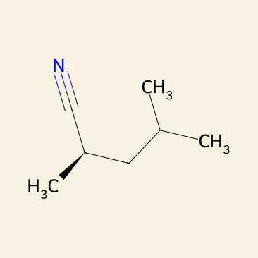 CC(C)C[C@@H](C)C#N